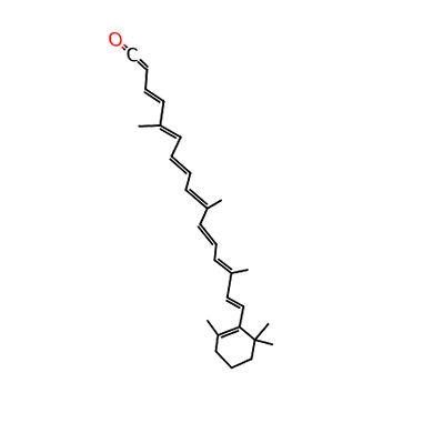 CC1=C(/C=C/C(C)=C/C=C/C(C)=C/C=C/C=C(C)/C=C/C=C=O)C(C)(C)CCC1